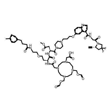 C#C[C@H]1CC(F)(F)CN1C(=O)CNC(=O)c1ccnc2ccc(OCCCN3CCN(C(=O)[C@H](CC(=O)OC)NC(=O)[C@H](CCOCCNC(=O)CCCc4ccc(C)cc4)NC(=O)CN4CCN(COC=O)CCN(COC=O)CCN(CC(=O)O)CC4)CC3)cc12